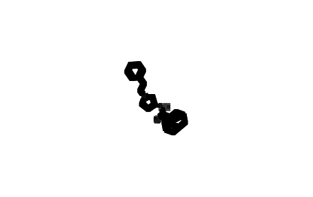 O=C(N[C@@H]1CCN(CCc2ccccc2)C1)C12CC3CC(CC(C3)C1)C2